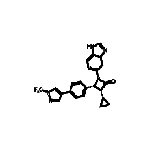 O=C1[C@H](C2CC2)[C@H](c2ccc(-c3cnn(C(F)(F)F)c3)cc2)N1C1=CC=C2NC=NC2C1